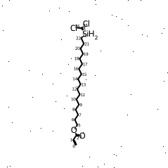 C=CC(=O)OCCCCCCCCCCCCCCCCCC[SiH2]C(Cl)Cl